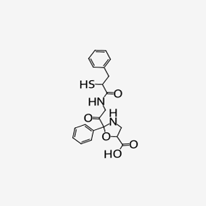 O=C(NCC(=O)C1(c2ccccc2)NCC(C(=O)O)O1)C(S)Cc1ccccc1